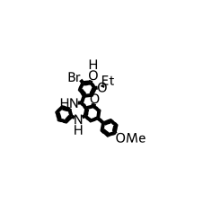 CCOc1cc(C2Nc3ccccc3NC3=C2C(=O)CC(c2ccc(OC)cc2)C3)cc(Br)c1O